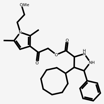 COCCn1c(C)cc(C(=O)COC(=O)C2NNC(c3ccccc3)C2C2CCCCCCC2)c1C